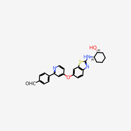 O=Cc1ccc(-c2cc(Oc3ccc4nc(N[C@@H]5CCCC[C@H]5O)sc4c3)ccn2)cc1